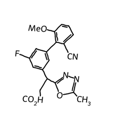 COc1cccc(C#N)c1-c1cc(F)cc(C(CC(=O)O)c2nnc(C)o2)c1